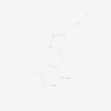 Cc1c(C)c2c(c(C)c1O)CCC(C)(C(=O)NCC(=O)O)O2